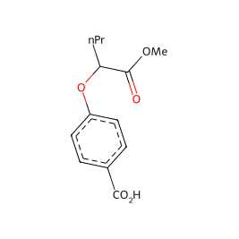 CCCC(Oc1ccc(C(=O)O)cc1)C(=O)OC